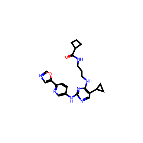 O=C(NCCCNc1nc(Nc2ccc(-c3cnco3)nc2)ncc1C1CC1)C1CCC1